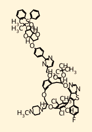 Cc1c(Cl)c2c(Cl)c(C)c1-c1c(-c3ccc(F)cc3)sc3ncnc(c13)O[C@@H](C(=O)OC(C)(C)C)Cc1cc(ccc1OCc1ccnc(-c3ccc(O[C@H]4CO[C@@H]5[C@@H]4OC[C@H]5O[Si](c4ccccc4)(c4ccccc4)C(C)(C)C)cc3)n1)OC[C@@H](CN1CCN(C)CC1)O2